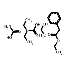 CCC.CCN(CC)C(O)=S.CCOC(=O)Cc1ccccc1.NC(O)=S